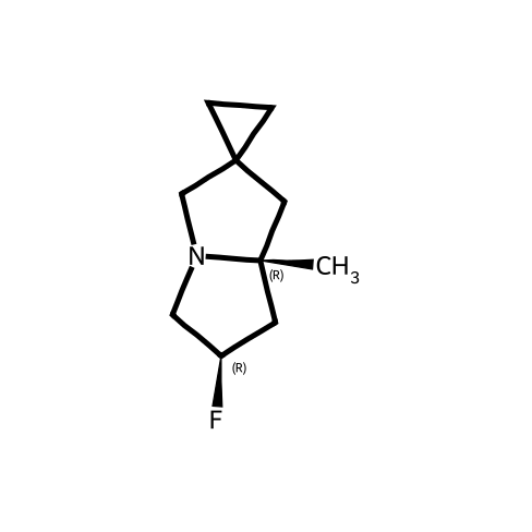 C[C@@]12C[C@@H](F)CN1CC1(CC1)C2